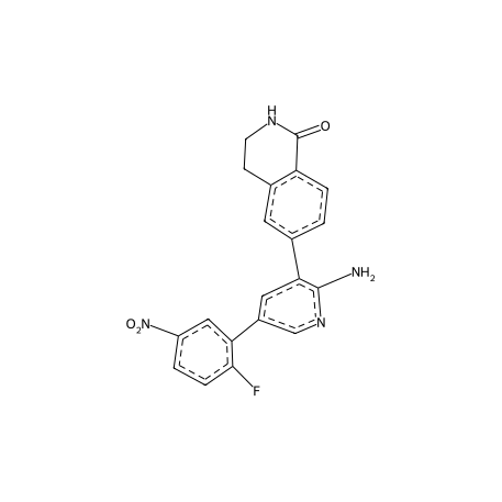 Nc1ncc(-c2cc([N+](=O)[O-])ccc2F)cc1-c1ccc2c(c1)CCNC2=O